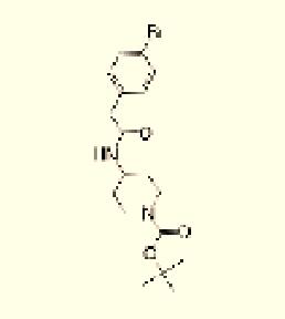 CC(C)(C)OC(=O)N1CCC(NC(=O)Cc2ccc(Br)cc2)CC1